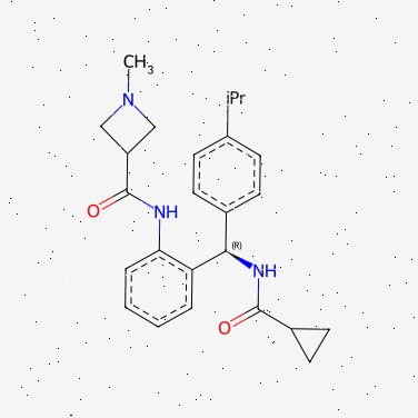 CC(C)c1ccc([C@@H](NC(=O)C2CC2)c2ccccc2NC(=O)C2CN(C)C2)cc1